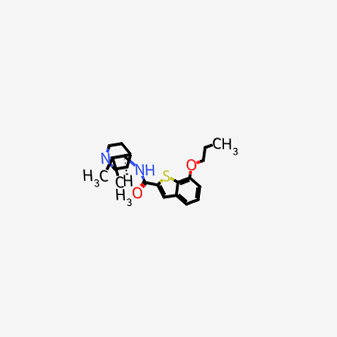 CCCOc1cccc2cc(C(=O)N[C@@H]3C4CCN(CC4)C3(C)C)sc12